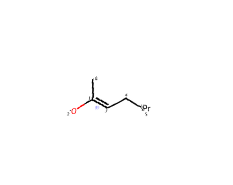 C/C([O])=C\CC(C)C